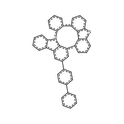 c1ccc(-c2ccc(-c3cc4c5cccc6sc7cccc(c8ccccc8n8c9ccccc9c(c3)c48)c7c65)cc2)cc1